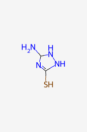 NC1N=C(S)NN1